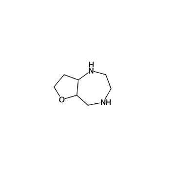 C1CNC2CCOC2CN1